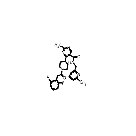 Cc1ncc(C(=O)NCc2cccc(C(F)(F)F)n2)c(C2CCN(C(=O)Cc3c(F)cccc3F)CC2)n1